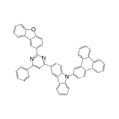 c1ccc(-c2cc(-c3ccc4c(c3)c3ccccc3n4-c3ccc4c5ccccc5c5ccccc5c4c3)nc(-c3ccc4oc5ccccc5c4c3)n2)cc1